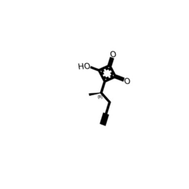 C#CC[C@@H](C)c1c(O)c(=O)c1=O